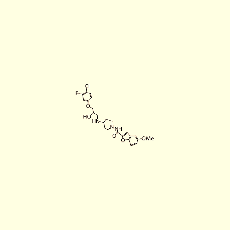 COc1ccc2oc(C(=O)NN3CCC(NCC(O)COc4ccc(Cl)c(F)c4)CC3)cc2c1